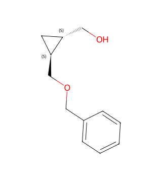 OC[C@H]1C[C@@H]1COCc1ccccc1